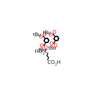 CC(C)(C)OC(=O)c1cccc(C(=O)OC(C)(C)C)c1.CC(C)(C)OC(=O)c1cccc(C(=O)OC(C)(C)C)c1.O=C(O)CCCCC(=O)O